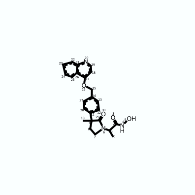 CC(C(=O)NO)N1CCC(C)(c2ccc(COc3ccnc4ccccc34)cc2)C1=O